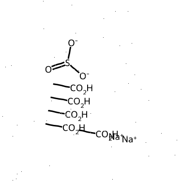 CC(=O)O.CC(=O)O.CC(=O)O.CC(=O)O.CC(=O)O.O=S([O-])[O-].[Na+].[Na+]